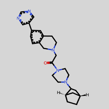 O=C(CN1CCc2cc(-c3cncnc3)ccc2C1)N1CCN(C2C[C@@H]3CC[C@@H]2C3)CC1